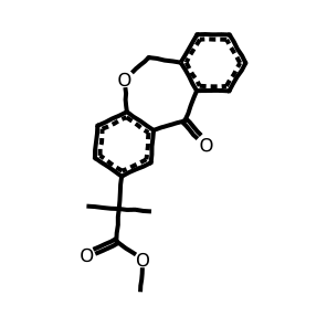 COC(=O)C(C)(C)c1ccc2c(c1)C(=O)c1ccccc1CO2